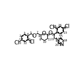 Clc1ccc(COCC2CCCC(OC(Cn3ccnc3)c3ccc(Cl)cc3Cl)O2)c(Cl)c1